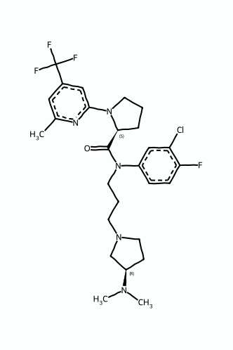 Cc1cc(C(F)(F)F)cc(N2CCC[C@H]2C(=O)N(CCCN2CC[C@@H](N(C)C)C2)c2ccc(F)c(Cl)c2)n1